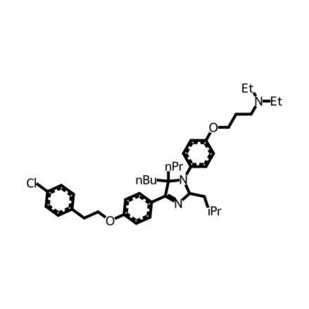 CCCCC1(CCC)C(c2ccc(OCCc3ccc(Cl)cc3)cc2)=NC(CC(C)C)N1c1ccc(OCCCN(CC)CC)cc1